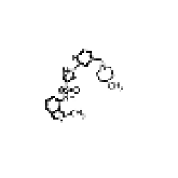 CC1CCN(Cc2ccnc(-n3cc(S(=O)(=O)Nc4cccc5cnn(C)c45)cn3)c2)CC1